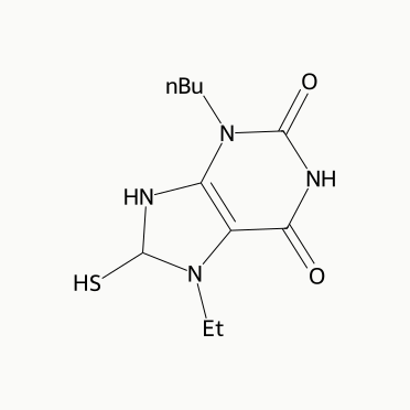 CCCCn1c2c(c(=O)[nH]c1=O)N(CC)C(S)N2